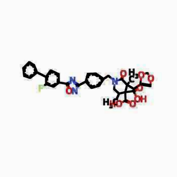 CC1CN(Cc2ccc(-c3noc(-c4ccc(-c5ccccc5)c(F)c4)n3)cc2)C(=O)C(C)(CC2=COCO2)C1(C(=O)O)C(=O)O